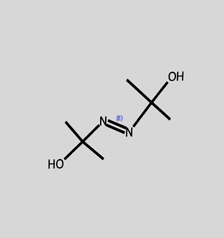 CC(C)(O)/N=N/C(C)(C)O